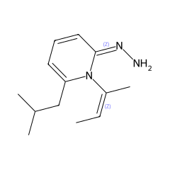 C/C=C(/C)n1c(CC(C)C)ccc/c1=N/N